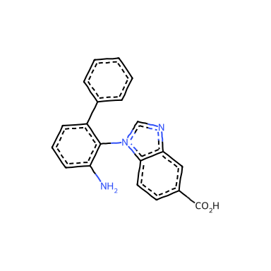 Nc1cccc(-c2ccccc2)c1-n1cnc2cc(C(=O)O)ccc21